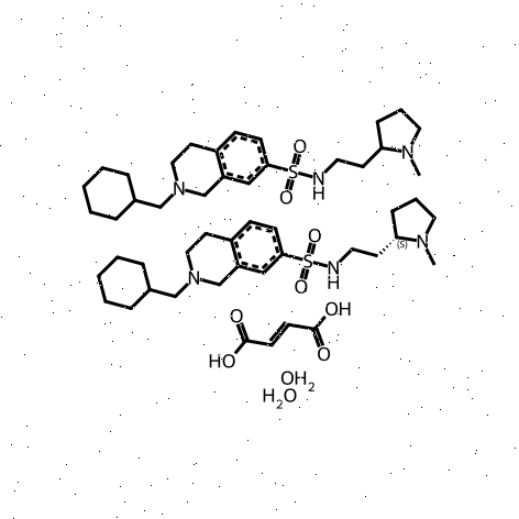 CN1CCCC1CCNS(=O)(=O)c1ccc2c(c1)CN(CC1CCCCC1)CC2.CN1CCC[C@H]1CCNS(=O)(=O)c1ccc2c(c1)CN(CC1CCCCC1)CC2.O.O.O=C(O)C=CC(=O)O